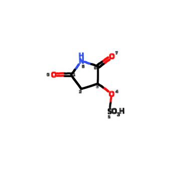 O=C1CC(OS(=O)(=O)O)C(=O)N1